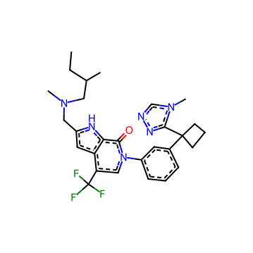 CCC(C)CN(C)Cc1cc2c(C(F)(F)F)cn(-c3cccc(C4(c5nncn5C)CCC4)c3)c(=O)c2[nH]1